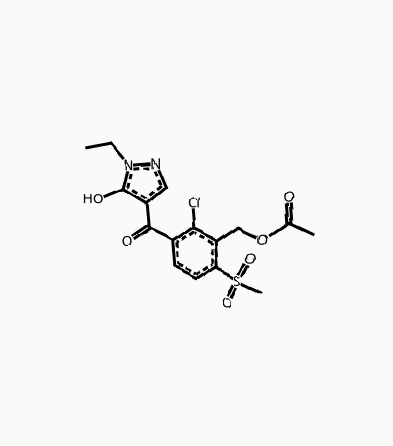 CCn1ncc(C(=O)c2ccc(S(C)(=O)=O)c(COC(C)=O)c2Cl)c1O